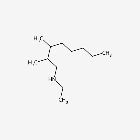 CCCCCC(C)C(C)CNCC